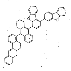 c1ccc2cc3c(ccc4c(-c5c6ccccc6c(-c6ccc(-c7ccc8c(c7)oc7ccccc78)c7c6oc6ccccc67)c6ccccc56)cccc43)cc2c1